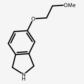 COCCOc1ccc2c(c1)CNC2